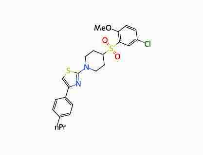 CCCc1ccc(-c2csc(N3CCC(S(=O)(=O)c4cc(Cl)ccc4OC)CC3)n2)cc1